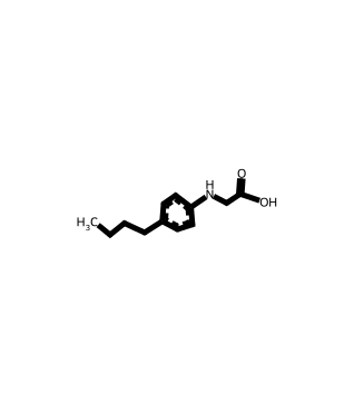 CCCCc1ccc(NCC(=O)O)cc1